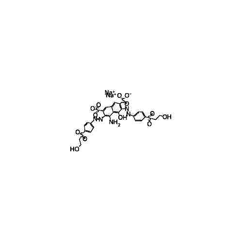 Nc1c(N=Nc2ccc(S(=O)(=O)CCO)cc2)c(S(=O)(=O)[O-])cc2cc(S(=O)(=O)[O-])c(N=Nc3ccc(S(=O)(=O)CCO)cc3)c(O)c12.[Na+].[Na+]